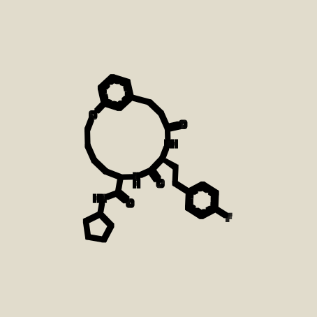 O=C1CCc2cccc(c2)OCCCCC(C(=O)NC2CCCC2)NC(=O)[C@H](CCc2ccc(F)cc2)N1